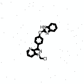 ClCn1nc(-c2ccc(Oc3nc4ccccc4[nH]3)cc2)c2ncccc21